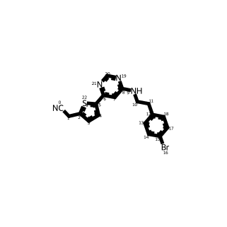 N#CCc1ccc(-c2cc(NCCc3ccc(Br)cc3)ncn2)s1